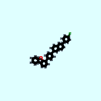 Fc1ccc(-c2ccc3cc(-c4ccc(-c5cccc6c5oc5ccccc56)cc4)ccc3c2)cc1